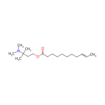 C/C=C/CCCCCCCC(=O)OCCC(C)(C)N(C)C